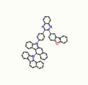 c1ccc2c(-n3c4ccccc4c4ccc5ccccc5c43)c3c4ccccc4n(-c4ccc(-c5nc6ccccc6nc5-c5ccc6oc7ccccc7c6c5)cc4)c3cc2c1